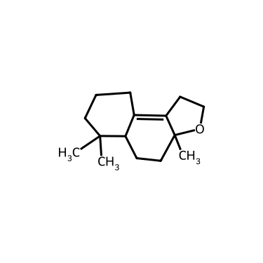 CC12CCC3C(=C1CCO2)CCCC3(C)C